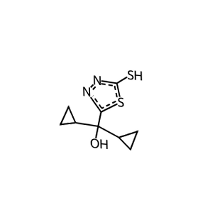 OC(c1nnc(S)s1)(C1CC1)C1CC1